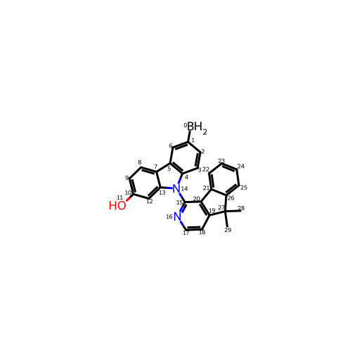 Bc1ccc2c(c1)c1ccc(O)cc1n2-c1nccc2c1-c1ccccc1C2(C)C